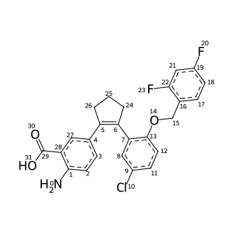 Nc1ccc(C2=C(c3cc(Cl)ccc3OCc3ccc(F)cc3F)CCC2)cc1C(=O)O